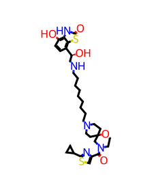 O=C(c1csc(C2CC2)n1)N1CCOC2(CCN(CCCCCCCCCNC[C@H](O)c3ccc(O)c4[nH]c(=O)sc34)CC2)C1